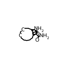 NC(=O)c1ccc2c(C(N)=O)c1CCCCCCCCCC2